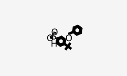 CC(C)(C)c1ccc([SH](=O)=O)cc1OCc1ccccc1